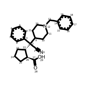 N#CC(c1ccccc1)(C1CCN(Cc2ccccc2)CC1)[C@H]1CCC[C@@H]1C(=O)O